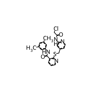 Cc1cc(C)cc(NC(=O)c2cccnc2SCc2ccnc(NC(=O)CCl)c2)c1